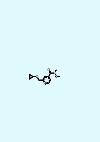 CON(C)C(=O)c1ccnc(COC2CC2)c1